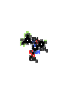 CCOC(=O)N[C@@H]1CCN(C(=O)N(C)Cc2cc(C(F)(F)F)cc(C(F)(F)F)c2)[C@@H](c2ccc(F)cc2C)C1